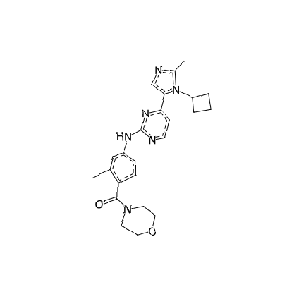 Cc1cc(Nc2nccc(-c3cnc(C)n3C3CCC3)n2)ccc1C(=O)N1CCOCC1